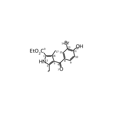 CCOC(=O)c1[nH]c(C)c(C(=O)c2ccc(O)c(Br)c2)c1C